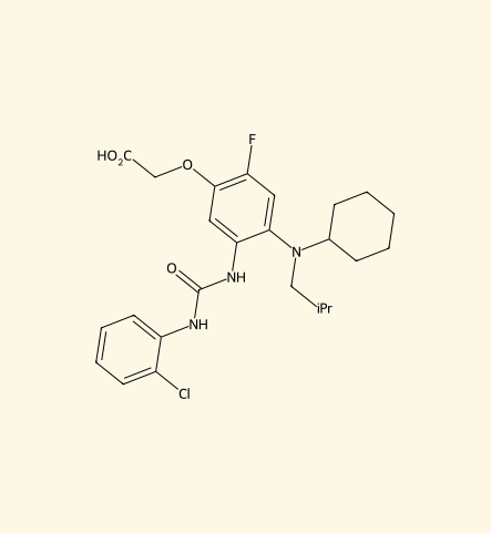 CC(C)CN(c1cc(F)c(OCC(=O)O)cc1NC(=O)Nc1ccccc1Cl)C1CCCCC1